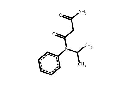 CC(C)N(C(=O)CC(N)=O)c1ccccc1